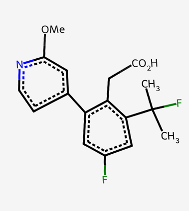 COc1cc(-c2cc(F)cc(C(C)(C)F)c2CC(=O)O)ccn1